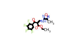 CCOC(=O)C(=CNc1nonc1C)C(=O)c1cc(F)c(F)c(F)c1F